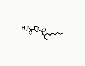 CCCCCCCC(CC)CC(=O)N1CCC(C(N)=O)C1